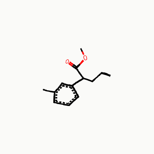 CCCC(C(=O)OC)c1cccc(C)c1